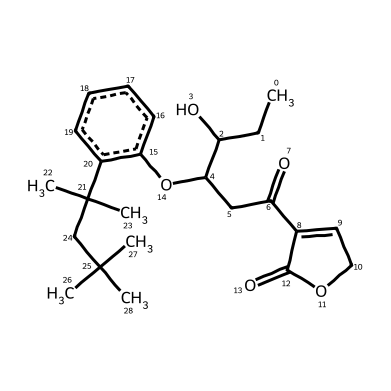 CCC(O)C(CC(=O)C1=CCOC1=O)Oc1ccccc1C(C)(C)CC(C)(C)C